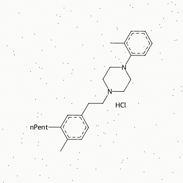 CCCCCc1cc(CCN2CCN(c3ccccc3C)CC2)ccc1C.Cl